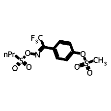 CCCS(=O)(=O)ON=C(c1ccc(OS(C)(=O)=O)cc1)C(F)(F)F